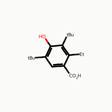 CCc1c(C(=O)O)cc(C(C)(C)C)c(O)c1C(C)(C)C